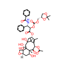 CC(=O)O[C@H]1C(=O)[C@@]2(C)[C@H]([C@H](O)[C@]3(O)C[C@H](OC(=O)[C@H](OC(=O)OC[C@@H]4COC(C)(C)O4)[C@@H](NC(=O)c4ccccc4)c4ccccc4)C(C)=C1C3(C)C)[C@]1(O)CO[C@@H]1C[C@@H]2O